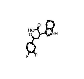 O=C(CC(C(=O)O)c1c[nH]c2ccccc12)c1ccc(F)c(F)c1